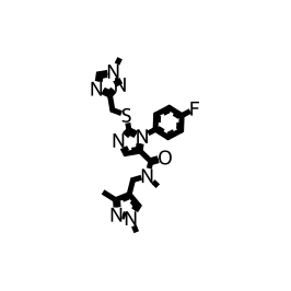 Cc1nn(C)cc1CN(C)C(=O)c1cnc(SCc2ncn(C)n2)n1-c1ccc(F)cc1